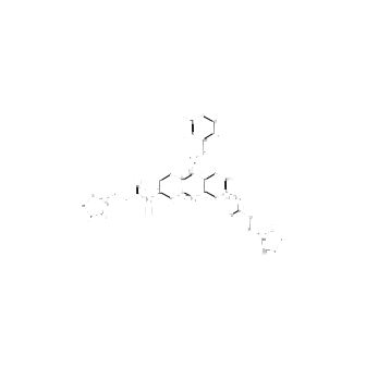 Cc1cccc(CNc2c3ccc(NC(=O)CCN4CCCC4)cc3nc3cc(NC(=O)CCN4CCCC4)ccc23)c1